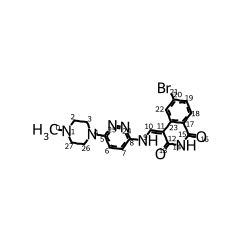 CN1CCN(c2ccc(NC=C3C(=O)NC(=O)c4ccc(Br)cc43)nn2)CC1